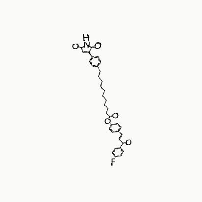 O=C1C=C(c2ccc(CCCCCCCCCCC(=O)Oc3ccc(C=CC(=O)c4ccc(F)cc4)cc3)cc2)C(=O)N1